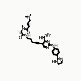 CCCNc1nc(Nc2ccc(N3N=CCN3)cc2)ncc1C#CCCCNC(=O)[C@H](C)N(C)C(=O)/C=C/CN(C)C